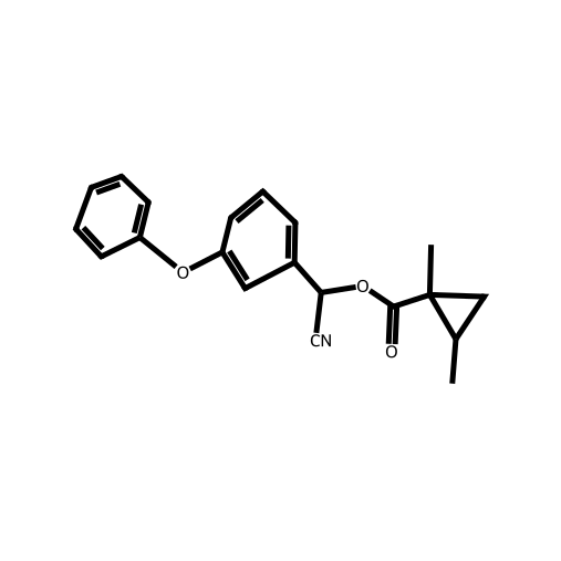 CC1CC1(C)C(=O)OC(C#N)c1cccc(Oc2ccccc2)c1